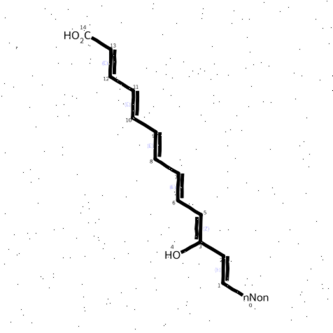 CCCCCCCCC/C=C/C(O)=C/C=C/C=C/C=C/C=C/C(=O)O